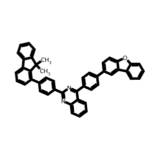 CC1(C)c2ccccc2-c2cccc(-c3ccc(-c4nc(-c5ccc(-c6ccc7oc8ccccc8c7c6)cc5)c5ccccc5n4)cc3)c21